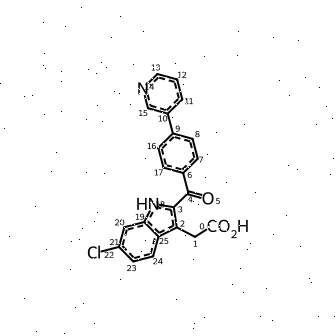 O=C(O)Cc1c(C(=O)c2ccc(-c3cccnc3)cc2)[nH]c2cc(Cl)ccc12